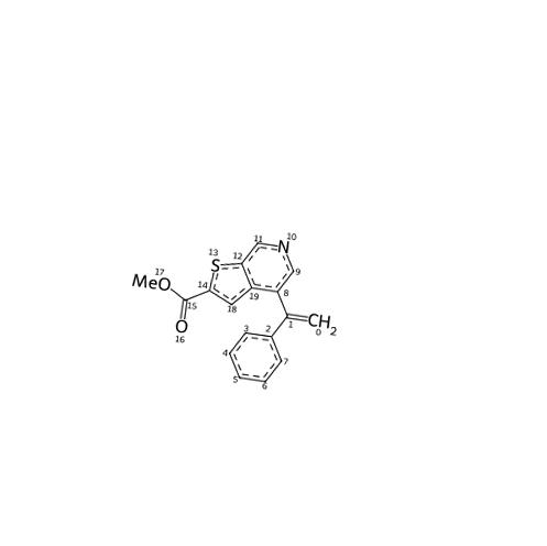 C=C(c1ccccc1)c1cncc2sc(C(=O)OC)cc12